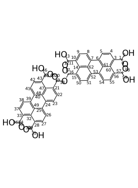 O=C(O)c1ccc2c3ccc(C(=O)O)c4c(C(=O)OC(=O)c5ccc6c7ccc(C(=O)O)c8c(C(=O)O)ccc(c9ccc(C(=O)O)c5c96)c87)ccc(c5ccc(C(=O)O)c1c25)c43